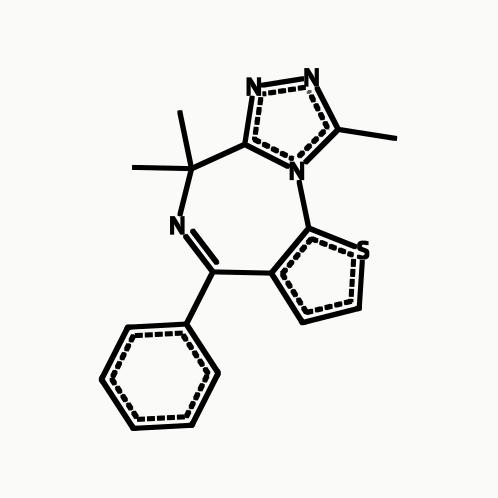 Cc1nnc2n1-c1sccc1C(c1ccccc1)=NC2(C)C